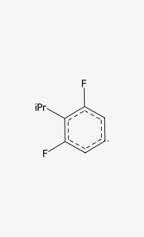 CC(C)c1c(F)c[c]cc1F